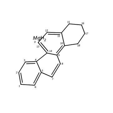 [MgH2].c1ccc2c(c1)ccc1c3c(ccc12)CCCC3